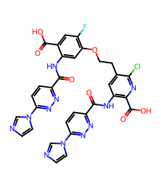 O=C(Nc1cc(OCCc2cc(NC(=O)c3ccc(-n4ccnc4)nn3)c(C(=O)O)nc2Cl)c(F)cc1C(=O)O)c1ccc(-n2ccnc2)nn1